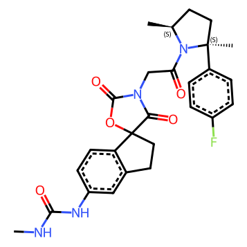 CNC(=O)Nc1ccc2c(c1)CCC21OC(=O)N(CC(=O)N2[C@@H](C)CC[C@@]2(C)c2ccc(F)cc2)C1=O